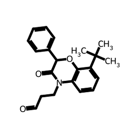 CC(C)(C)c1cccc2c1OC(c1ccccc1)C(=O)N2CCC=O